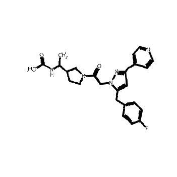 CC(NC(=O)O)C1CCN(C(=O)Cn2nc(-c3ccncc3)cc2Cc2ccc(F)cc2)C1